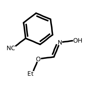 CCOC=NO.N#Cc1ccccc1